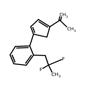 C=C(C)C1=CC=C(c2ccccc2CC(C)(F)F)C1